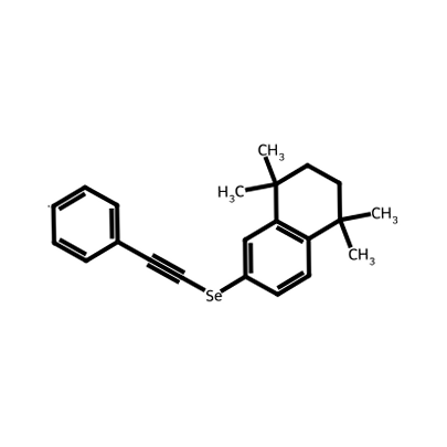 CC1(C)CCC(C)(C)c2cc([Se]C#Cc3cc[c]cc3)ccc21